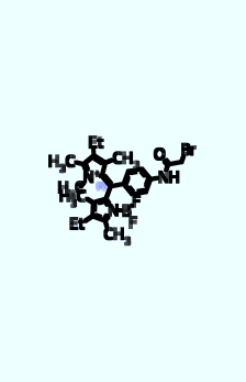 CCC1=C(C)/C(=C(\c2ccc(NC(=O)CBr)cc2)c2c(C)c(CC)c(C)n2B(F)F)[N+](C)=C1C